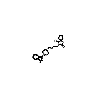 O=C1SC2(CCCC2)C(=O)N1CCCCN1CCN(c2nsc3ccccc23)CC1